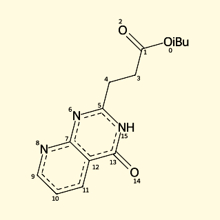 CC(C)COC(=O)CCc1nc2ncccc2c(=O)[nH]1